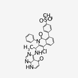 C[C@H](Nc1ncnc2[nH]ccc(=O)c12)c1c(Cl)c2cccc(-c3ccc(S(C)(=O)=O)cc3)c2c(=O)n1-c1ccccc1